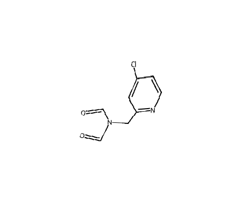 O=CN(C=O)Cc1cc(Cl)ccn1